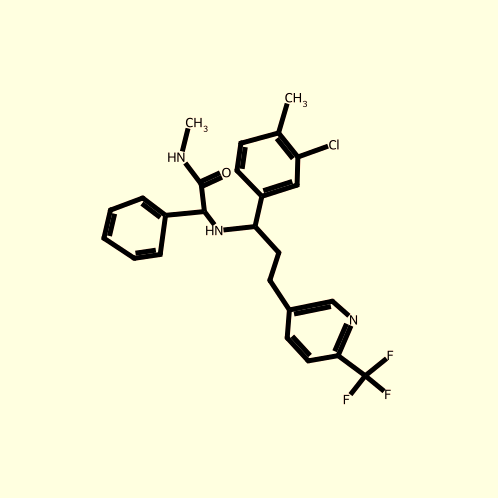 CNC(=O)C(NC(CCc1ccc(C(F)(F)F)nc1)c1ccc(C)c(Cl)c1)c1ccccc1